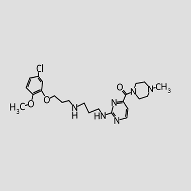 COc1ccc(Cl)cc1OCCCNCCCNc1nccc(C(=O)N2CCN(C)CC2)n1